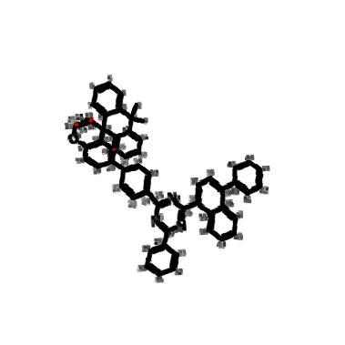 CC1(C)c2ccccc2C2(c3ccccc3Oc3ccc(-c4ccc(-c5nc(-c6ccccc6)nc(-c6ccc(-c7ccccc7)c7ccccc67)n5)cc4)cc32)c2ccccc21